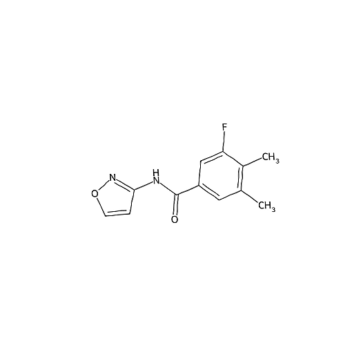 Cc1cc(C(=O)Nc2ccon2)cc(F)c1C